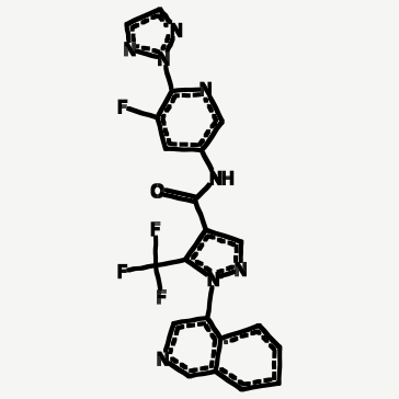 O=C(Nc1cnc(-n2nccn2)c(F)c1)c1cnn(-c2cncc3ccccc23)c1C(F)(F)F